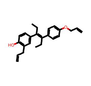 C=CCOc1ccc(/C(CC)=C(\CC)c2ccc(O)c(CC=C)c2)cc1